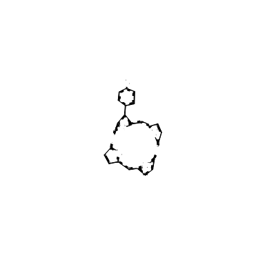 O=[N+]([O-])c1ccc(-c2cc3cc4nc(cc5ccc(cc6nc(cc2[nH]3)C=C6)[nH]5)C=C4)cc1.[Ti]